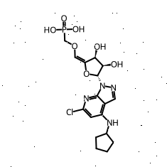 O=P(O)(O)COC=C1O[C@@H](n2ncc3c(NC4CCCC4)cc(Cl)nc32)[C@H](O)[C@@H]1O